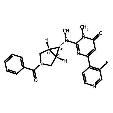 CN(c1nc(-c2ccncc2F)cc(=O)n1C)[C@@H]1[C@@H]2CN(C(=O)c3ccccc3)C[C@@H]21